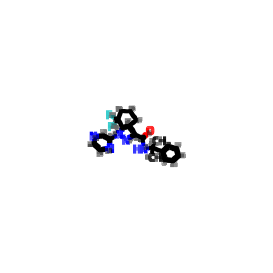 CC(C)(NC(=O)c1nn(-c2cnccn2)c2c1CCCC2(F)F)c1ccccc1